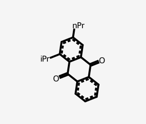 CCCc1cc2c(c(C(C)C)c1)C(=O)c1ccccc1C2=O